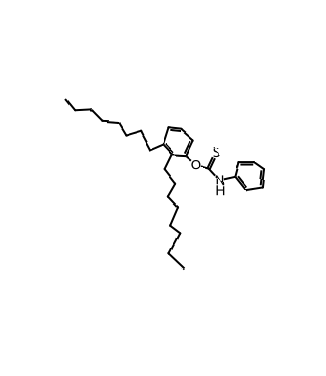 CCCCCCCCc1cccc(OC(=S)Nc2ccccc2)c1CCCCCCCC